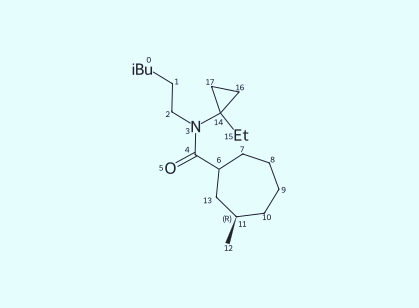 CCC(C)CCN(C(=O)C1CCCC[C@@H](C)C1)C1(CC)CC1